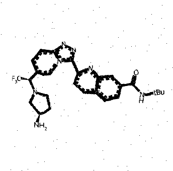 CC(C)(C)NC(=O)c1ccc2ccc(-c3nnc4ccc([C@@H](N5CC[C@@H](N)C5)C(F)(F)F)cn34)nc2c1